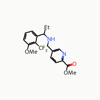 CCC(NCc1ccc(C(=O)OC)nc1)c1cccc(OC)c1C(F)(F)F